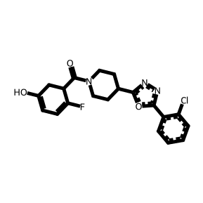 O=C(C1CC(O)=CC=C1F)N1CCC(c2nnc(-c3ccccc3Cl)o2)CC1